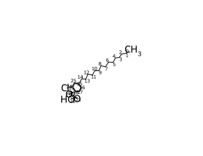 CCCCCCCCCCCCCCCc1ccc(S(=O)(=O)O)c(Cl)c1